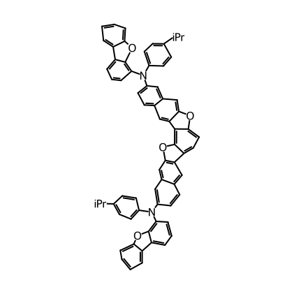 CC(C)c1ccc(N(c2ccc3cc4c(cc3c2)oc2c4ccc3oc4cc5cc(N(c6ccc(C(C)C)cc6)c6cccc7c6oc6ccccc67)ccc5cc4c32)c2cccc3c2oc2ccccc23)cc1